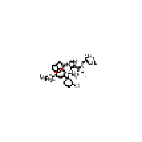 C=C(C)C/N=C(/C)c1ncn(CC2=CC(C3(C)CC=CC(Cl)C3)=C=C(C)C=C2/C2=C\C[C@@H](COC)CCCC2)c1C